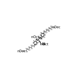 CCCCCCCCC#CC(=N\c1ccc(CCCCCCCCCCCCCCCCC)cc1)/C(CCCCCCCC)=N/c1ccc(CCCCCCCCCCCCCCCCC)cc1.[Ni]